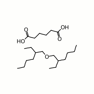 CCCCC(CC)COCC(CC)CCCC.O=C(O)CCCCC(=O)O